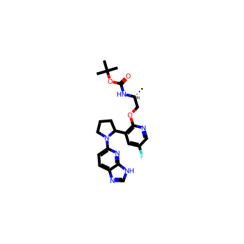 C[C@H](COc1ncc(F)cc1C1CCCN1c1ccc2nc[nH]c2n1)NC(=O)OC(C)(C)C